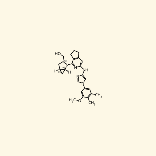 COc1cc(-n2cnc(Nc3nc4c(c(N5[C@H](CO)C[C@H]6C[C@H]65)n3)CCC4)c2)cc(C)c1C